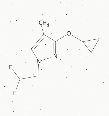 Cc1cn(CC(F)F)nc1OC1CC1